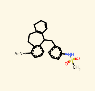 CC(=O)Nc1cccc2c1CCC1=C(C=CCC1)C2Cc1cccc(NS(C)(=O)=O)c1